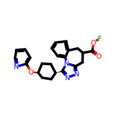 O=C(OF)C1Cc2ccccc2-n2c(nnc2[C@H]2CC[C@H](Oc3ccccn3)CC2)C1